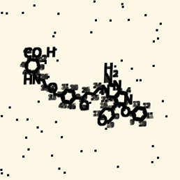 NC1=Nc2cnc(Oc3ccccc3)c(C3CCOCC3)c2CN1CCCC(=O)c1ccc(COCCN[C@H]2CC[C@@H](C(=O)O)CC2)cc1